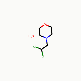 ClC(Cl)CN1CCOCC1.O